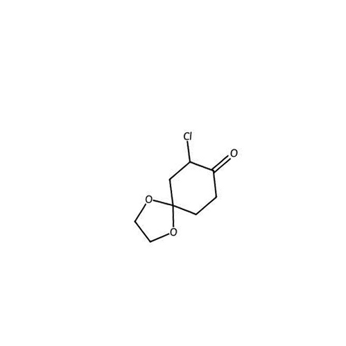 O=C1CCC2(CC1Cl)OCCO2